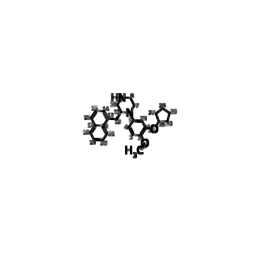 COc1ccc(N2CCNC[C@@H]2Cc2cccc3ccccc23)cc1OC1CCCC1